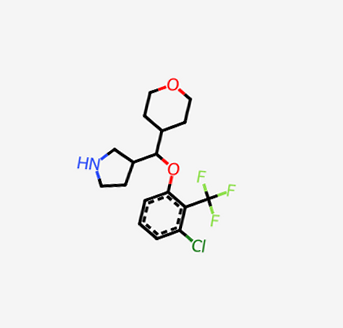 FC(F)(F)c1c(Cl)cccc1OC(C1CCOCC1)C1CCNC1